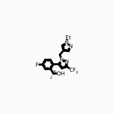 CCn1cc(Cn2nc(C(F)(F)F)cc2-c2ccc(F)cc2[C@@H](C)O)cn1